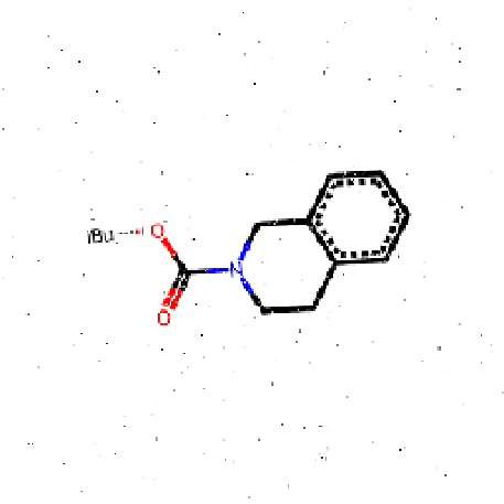 CC[C@@H](C)OC(=O)N1CCc2ccccc2C1